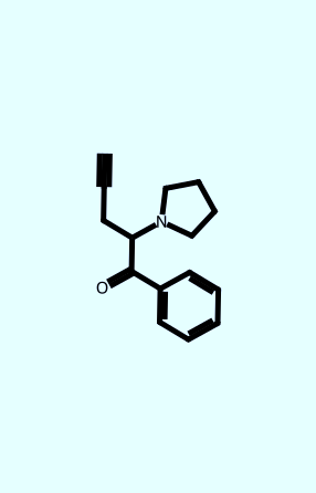 C#CCC(C(=O)c1ccccc1)N1CCCC1